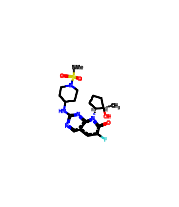 CNS(=O)(=O)N1CCC(Nc2ncc3cc(F)c(=O)n([C@@H]4CCC[C@@]4(C)O)c3n2)CC1